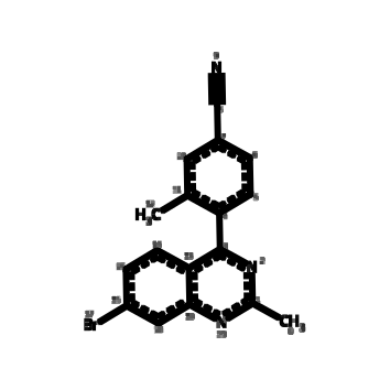 Cc1nc(-c2ccc(C#N)cc2C)c2ccc(Br)cc2n1